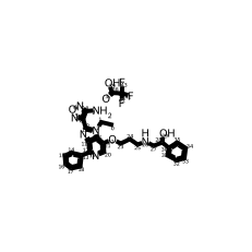 CCn1c(-c2nonc2N)nc2c(-c3ccccc3)ncc(OCCCNCC(O)c3ccccc3)c21.O=C(O)C(F)(F)F